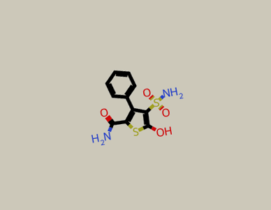 NC(=O)c1sc(O)c(S(N)(=O)=O)c1-c1ccccc1